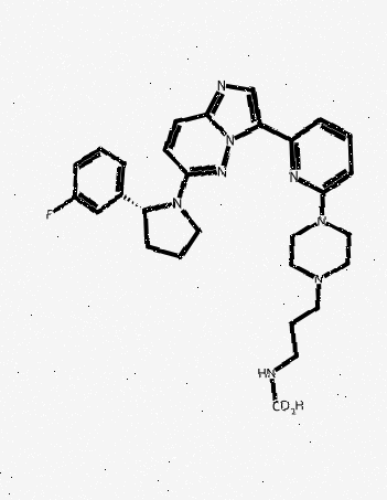 O=C(O)NCCCN1CCN(c2cccc(-c3cnc4ccc(N5CCC[C@@H]5c5cccc(F)c5)nn34)n2)CC1